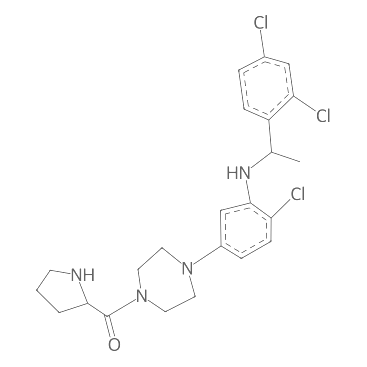 CC(Nc1cc(N2CCN(C(=O)C3CCCN3)CC2)ccc1Cl)c1ccc(Cl)cc1Cl